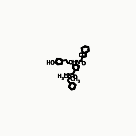 CC(C)(Cc1ccccc1)NC(=O)c1ccc(NC(=O)c2cc3ccccc3o2)c(OCCc2ccc(O)cc2)c1